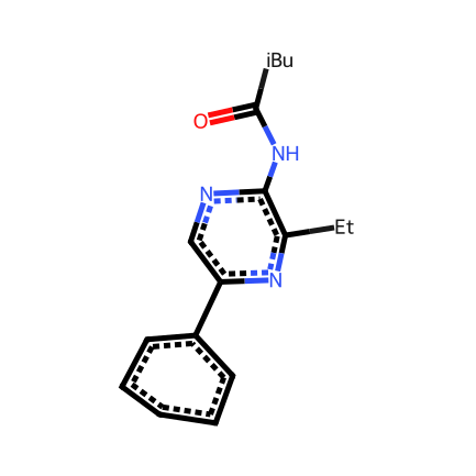 CCc1nc(-c2ccccc2)cnc1NC(=O)C(C)CC